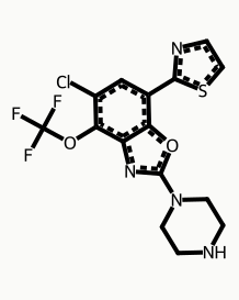 FC(F)(F)Oc1c(Cl)cc(-c2nccs2)c2oc(N3CCNCC3)nc12